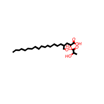 CCCCCCCCCCCCCCCCC(CO)CC(OC(=O)C(C)O)C(=O)O